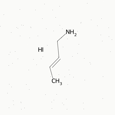 CC=CCN.I